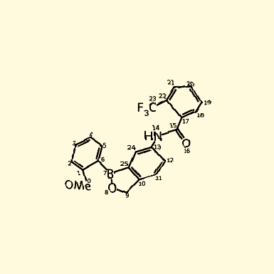 COc1ccccc1B1OCc2ccc(NC(=O)c3ccccc3C(F)(F)F)cc21